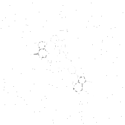 Nc1nc2c(ncn2[C@@H]2O[C@H](CO)[C@@H](F)[C@H]2OP(=O)(O)OCC[C@H]2O[C@@H](n3cc(F)c4c(N)ncnc43)C[C@@H]2O)c(=O)[nH]1